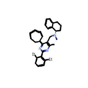 CCc1cccc(CC)c1-c1nc(C)c(CN(C)[C@H]2CCCc3ccccc32)c(C2CCCCCC2)n1